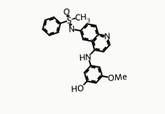 COc1cc(O)cc(Nc2ccnc3ccc(N=[S@@](C)(=O)c4ccccc4)cc23)c1